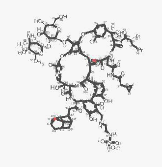 CCCCCCCCS(=O)(=O)NCCNCc1c(O)cc2c(c1O)-c1cc(ccc1O)[C@H]1CC(=O)[C@@H]3NC(=O)[C@H](CC(=O)NC(=O)CC4CC4)CC(=O)[C@H](NC(=O)[C@H](CC)CC(C)C)[C@H](O)c4ccc(c(Cl)c4)Oc4cc3cc(c4CO[C@@H]3O[C@H](CO)[C@@H](O)[C@H](O)[C@H]3O[C@H]3C[C@](C)(N)[C@H](O)[C@H](C)O3)Oc3ccc(cc3Cl)[C@@H](O)[C@H](NC1=O)C(=O)N[C@@H]2C(=O)CC1C2CC3CC(C2)CC1C3